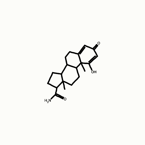 CC12C(O)=CC(=O)C=C1CCC1C2CCC2(C)C(C(N)=O)CCC12